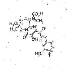 Cc1cc(CNC(=O)c2nc3n(c(=O)c2O)CC(C)(C)CCC3N(C)C(=O)O)ccc1F